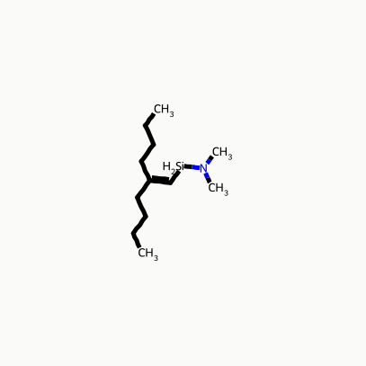 CCCCC(=C[SiH2]N(C)C)CCCC